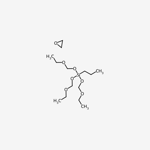 C1CO1.CCC[Si](OCOCC)(OCOCC)OCOCC